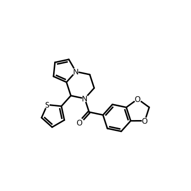 O=C(c1ccc2c(c1)OCO2)N1CCn2cccc2C1c1cccs1